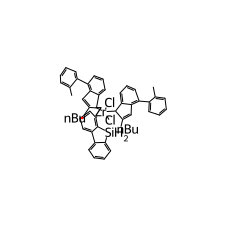 CCCCC1=Cc2c(-c3ccccc3C)cccc2[CH]1[Zr]([Cl])([Cl])([c]1cccc2c1[SiH2]c1ccccc1-2)[CH]1C(CCCC)=Cc2c(-c3ccccc3C)cccc21